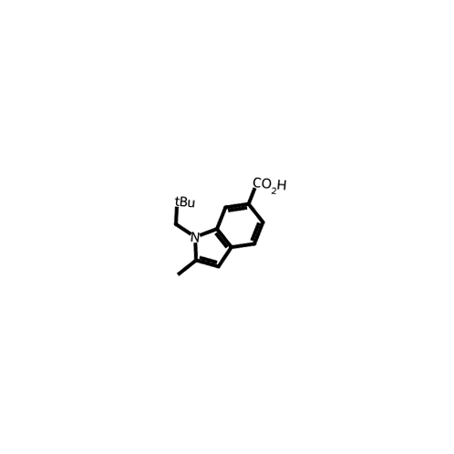 Cc1cc2ccc(C(=O)O)cc2n1CC(C)(C)C